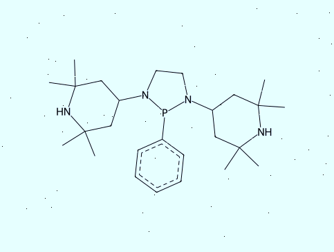 CC1(C)CC(N2CCN(C3CC(C)(C)NC(C)(C)C3)P2c2ccccc2)CC(C)(C)N1